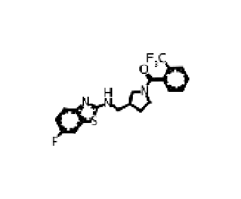 O=C(c1ccccc1C(F)(F)F)N1CCC(CNc2nc3ccc(F)cc3s2)C1